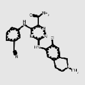 CN1CCc2cc(Nc3nnc(C(N)=O)c(Nc4cccc(C#N)c4)n3)c(Cl)cc2C1